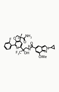 COc1cc(C(=O)NC[C@](O)(c2cc3c(c(-c4ccccc4F)n2)OC[C@]3(C)C(N)=O)C(F)(F)F)cc2cn(C3CC3)nc12